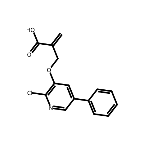 C=C(COc1cc(-c2ccccc2)cnc1Cl)C(=O)O